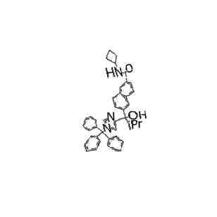 CC(C)C(O)(c1ccc2cc(C(=O)NC3CCC3)ccc2c1)c1cn(C(c2ccccc2)(c2ccccc2)c2ccccc2)cn1